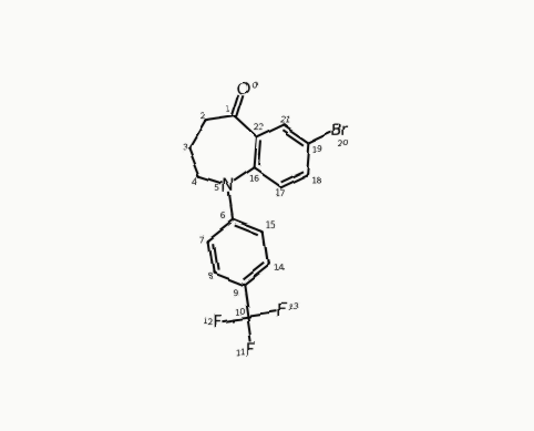 O=C1CCCN(c2ccc(C(F)(F)F)cc2)c2ccc(Br)cc21